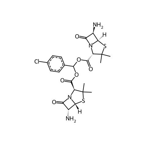 CC1(C)S[C@@H]2[C@H](N)C(=O)N2[C@H]1C(=O)OC(OC(=O)[C@@H]1N2C(=O)[C@@H](N)[C@H]2SC1(C)C)c1ccc(Cl)cc1